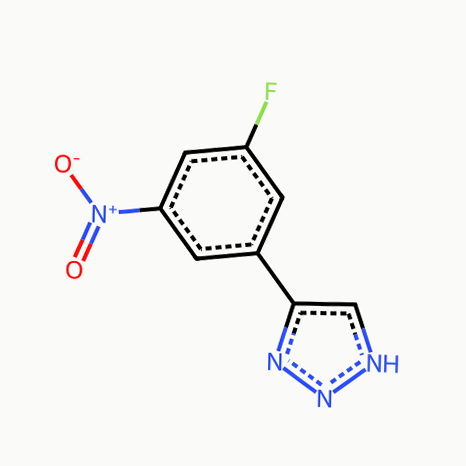 O=[N+]([O-])c1cc(F)cc(-c2c[nH]nn2)c1